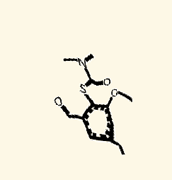 COc1cc(C)cc(C=O)c1SC(=O)N(C)C